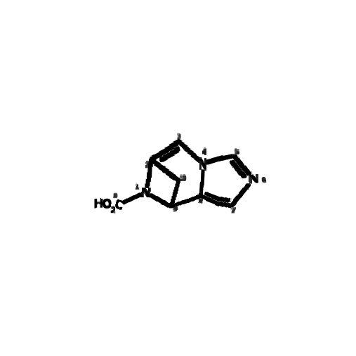 O=C(O)N1C2=Cn3cncc3C1C2